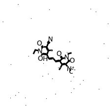 [C-]#[N+]C1=C(C)/C(=C/C=Cc2c(C)c(C#N)c(=O)n(CC)c2O)C(=O)N(CC)C1=O